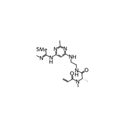 C=CC(=O)N(C)[C@@H](C)C(=O)NCCNc1cc(N/C(=N/C)SC)nc(C)n1